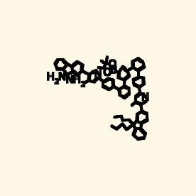 CCCCC1(CCCC)c2ccccc2-c2ccc(-c3cnc(-c4ccc(-c5ccccc5-c5cc(B6OC(C)C(C)(C)O6)cc(-c6ccccc6-c6ccc(-c7cc(C)c(-c8ccc9c(c8)C(N)(N)c8ccccc8-9)cn7)cc6)c5)cc4)cc3C)cc21